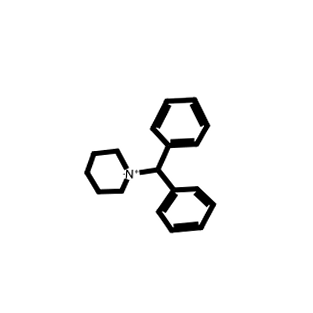 c1ccc(C(c2ccccc2)[N+]2CCCCC2)cc1